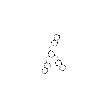 c1ccc2cc(Cc3cc(Cc4ccc5ccccc5c4)cc(Cc4ccc5ccccc5c4)c3)ccc2c1